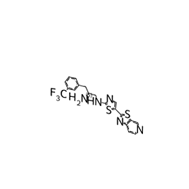 N[C@H](CNc1ncc(-c2nc3ccncc3s2)s1)Cc1cccc(C(F)(F)F)c1